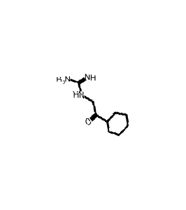 N=C(N)NCC(=O)C1CCCCC1